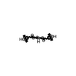 CC(C)(C)c1cc(CCC(=O)OCCNOCCOC(=O)CCc2cc(C(C)(C)C)c(O)c(C(C)(C)C)c2)cc(C(C)(C)C)c1O